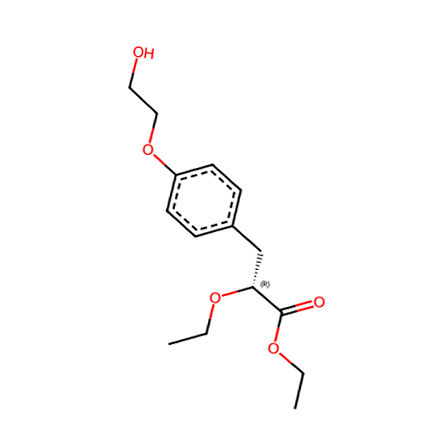 CCOC(=O)[C@@H](Cc1ccc(OCCO)cc1)OCC